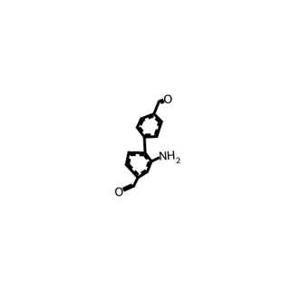 Nc1cc(C=O)ccc1-c1ccc(C=O)cc1